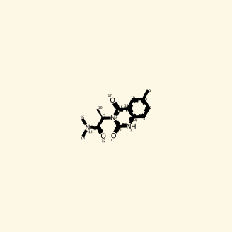 Cc1ccc2[nH]c(=O)n([C@H](C)C(=O)N(C)C)c(=O)c2c1